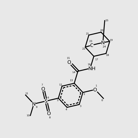 COc1ccc(S(=O)(=O)N(C)C)cc1C(=O)NC1CC2CCC1CN2C